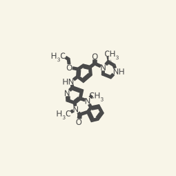 CCOc1cc(C(=O)N2CCNC[C@@H]2C)ccc1Nc1cc2c(cn1)N(C)C(=O)c1ccccc1N2C